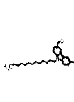 CCCCCCCCCCCCCn1c2ccc(C=O)cc2c2cc(C=O)ccc21